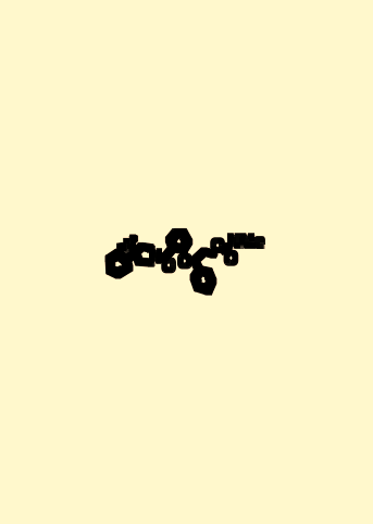 CNC(=O)OCCC(Oc1ccccc1C(=O)N1CCC(c2ccccc2)(N(C)C)CC1)c1ccccc1